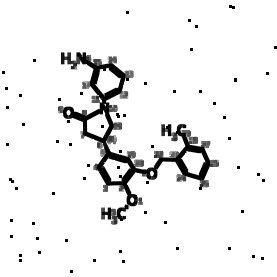 COc1ccc([C@H]2CC(=O)N(c3cccc(N)c3)C2)cc1OCc1ccccc1C